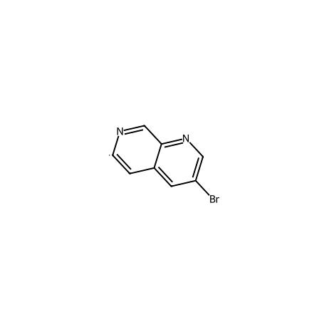 Brc1cnc2cn[c]cc2c1